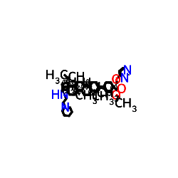 C=C(C)[C@@H]1CC[C@]2(NCCN3CCCCC3)CC[C@]3(C)[C@H](CC[C@@H]4[C@@]5(C)CC=C(C6=CC[C@](COc7ccncn7)(C(=O)OCC)CC6)C(C)(C)[C@@H]5CC[C@]43C)[C@@H]12